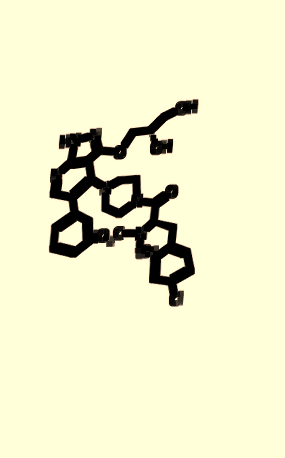 CC(C)(C)N(C(=O)O)[C@H](Cc1ccc(Cl)cc1)C(=O)N1CCN(c2c(-c3ccccc3)cnc3[nH]nc(OC[C@@H](O)CO)c23)CC1